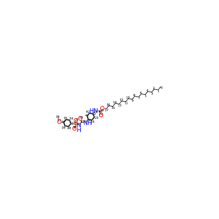 CCCCCCCCCCCCCCCCCCOC(=O)Nc1ccc(NC(=O)NS(=O)(=O)c2ccc(OC)cc2)cc1